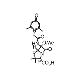 CO[C@]1(NC(=O)Cn2c(C)cc(=O)cc2C)C(=O)N2[C@@H](C(=O)O)C(C)(C)S[C@@H]21